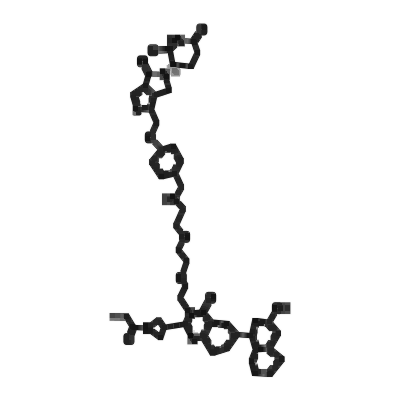 C=CC(=O)N1CC(c2nc3ccc(-c4cc(O)cc5ccccc45)cc3c(=O)n2CCOCCOCCNCc2ccc(OCc3scc4c3CN([C@H]3CCC(=O)NC3=O)C4=O)cc2)C1